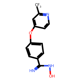 N=C(NO)c1ccc(Oc2ccnc(C(F)(F)F)c2)cc1